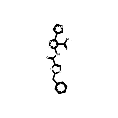 NC(=O)c1c(-c2ccsc2)noc1NC(=O)C1=COC(Cc2ccccc2)O1